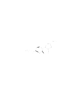 COc1ccn([C@@H]2O[C@H](CO)C[C@H]2F)c(=O)n1